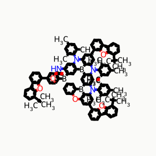 Cc1cc(C)c(N2c3cc4c(cc3B3c5ccccc5Oc5cc(-c6cccc7c6oc6c(C(C)(C)C)cccc67)cc2c53)B2c3cc5c(cc3N(c3c(C)cc(C)cc3C)c3cc(-c6cccc7c6oc6c(C(C)(C)C)cccc67)cc(c32)N4c2c(C)cc(C)cc2C)Nc2cc(-c3cccc4c3oc3c(C(C)(C)C)cccc34)cc3c2B5c2ccccc2O3)c(C)c1